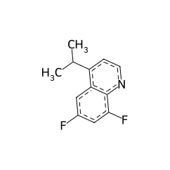 CC(C)c1ccnc2c(F)cc(F)cc12